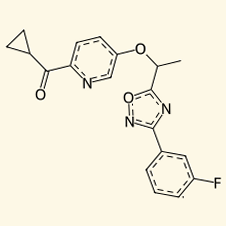 CC(Oc1ccc(C(=O)C2CC2)nc1)c1nc(-c2cc[c]c(F)c2)no1